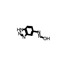 ON=Nc1[c]c2nn[nH]c2cc1